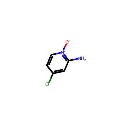 Nc1cc(Cl)cc[n+]1[O-]